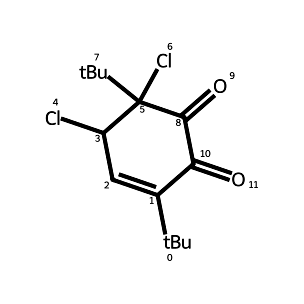 CC(C)(C)C1=CC(Cl)C(Cl)(C(C)(C)C)C(=O)C1=O